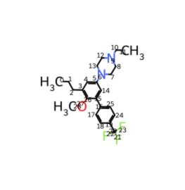 CCCc1cc(N2CCN(CC)CC2)cc(-c2ccc(C(F)(F)F)cc2)c1OC